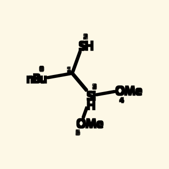 CCCCC(S)[SiH](OC)OC